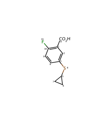 O=C(O)c1cc(SC2CC2)ccc1F